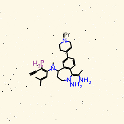 C#C/C(P)=C(\C=C(C)C)N(C)C1CCN(N)/C(=C(/C)N)c2ccc(C3=CCN(C(C)C)CC3)cc21